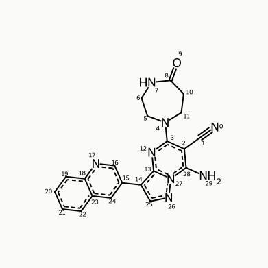 N#Cc1c(N2CCNC(=O)CC2)nc2c(-c3cnc4ccccc4c3)cnn2c1N